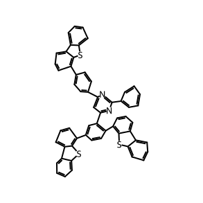 c1ccc(-c2nc(-c3ccc(-c4cccc5c4sc4ccccc45)cc3)cc(-c3cc(-c4cccc5c4sc4ccccc45)ccc3-c3cccc4c3sc3ccccc34)n2)cc1